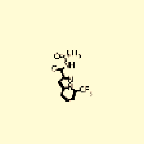 C[S+]([O-])NC(=O)c1cc2cccc(C(F)(F)F)n2n1